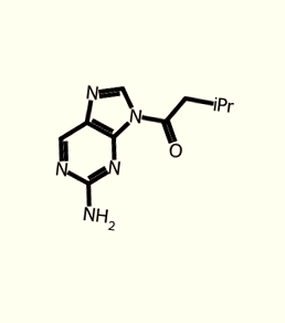 CC(C)CC(=O)n1cnc2cnc(N)nc21